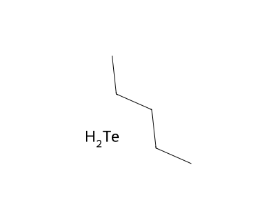 CCCCC.[TeH2]